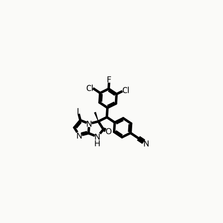 C[C@@]1(C(c2ccc(C#N)cc2)c2cc(Cl)c(F)c(Cl)c2)C(=O)Nc2ncc(I)n21